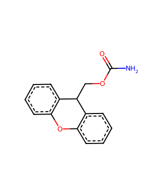 NC(=O)OCC1c2ccccc2Oc2ccccc21